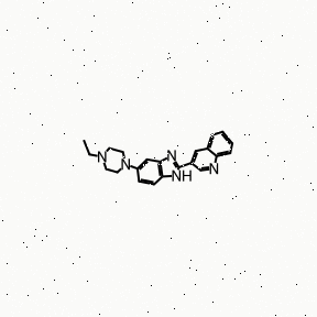 CCN1CCN(c2ccc3[nH]c(-c4cnc5ccccc5c4)nc3c2)CC1